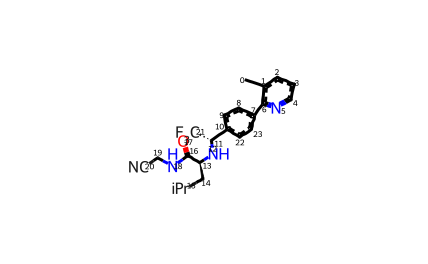 Cc1cccnc1-c1ccc([C@H](N[C@@H](CC(C)C)C(=O)NCC#N)C(F)(F)F)cc1